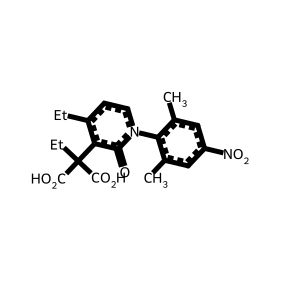 CCc1ccn(-c2c(C)cc([N+](=O)[O-])cc2C)c(=O)c1C(CC)(C(=O)O)C(=O)O